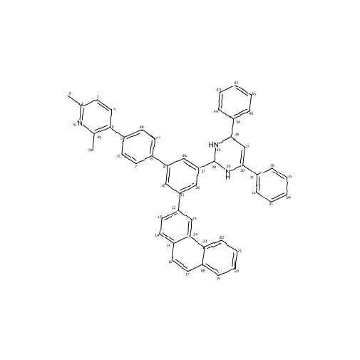 Cc1ccc(-c2ccc(-c3cc(-c4ccc5ccc6ccccc6c5c4)cc(C4NC(c5ccccc5)=CC(c5ccccc5)N4)c3)cc2)c(C)n1